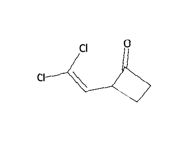 O=C1CCC1C=C(Cl)Cl